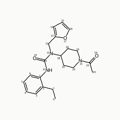 CCc1ccccc1NC(=O)N(Cc1ccco1)C1CCN(C(C)=O)CC1